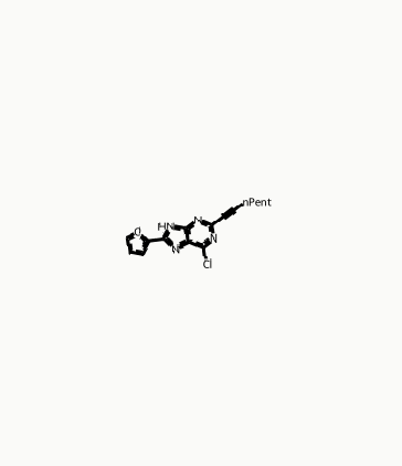 CCCCCC#Cc1nc(Cl)c2nc(-c3ccco3)[nH]c2n1